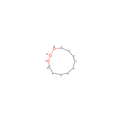 [CH]1CCCCCCCCOOO1